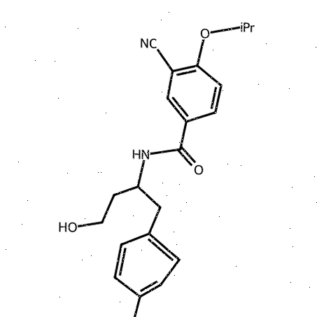 CC(C)Oc1ccc(C(=O)NC(CCO)Cc2ccc(Br)cc2)cc1C#N